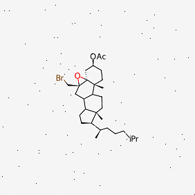 CC(=O)O[C@H]1CC[C@]2(C)C3CC[C@@]4(C)C(CC[C@@H]4[C@H](C)CCCC(C)C)C3C[C@]3(CBr)O[C@]32C1